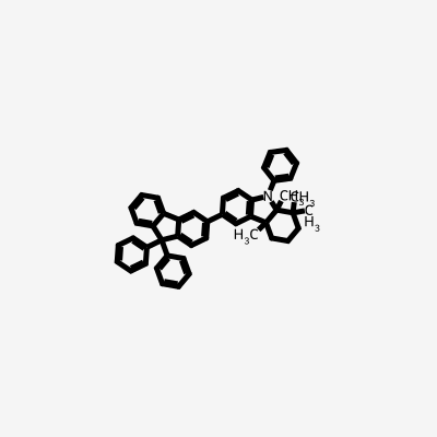 CC1(C)CCCC2(C)c3cc(-c4ccc5c(c4)-c4ccccc4C5(c4ccccc4)c4ccccc4)ccc3N(c3ccccc3)C12C